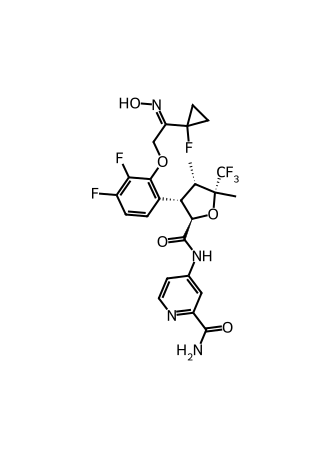 C[C@H]1[C@@H](c2ccc(F)c(F)c2OC/C(=N\O)C2(F)CC2)[C@H](C(=O)Nc2ccnc(C(N)=O)c2)O[C@@]1(C)C(F)(F)F